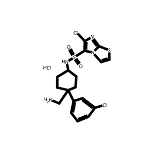 Cl.NCC1(c2cccc(Cl)c2)CCC(NS(=O)(=O)c2c(Cl)nc3sccn23)CC1